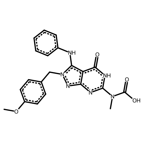 COc1ccc(Cn2nc3nc(N(C)C(=O)O)[nH]c(=O)c3c2Nc2ccccc2)cc1